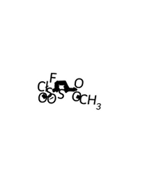 COC(=O)c1cc(F)c(S(=O)(=O)Cl)s1